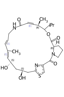 CC1=C\[C@@H](O)C[C@H](O)Cc2nc(cs2)C(=O)N2CCC[C@@H]2C(=O)OC(C(C)C)[C@H](C)/C=C/C(=O)NC\C=C\1